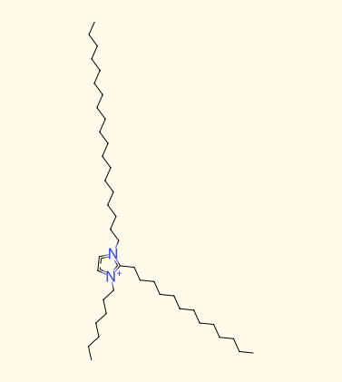 CCCCCCCCCCCCCCCCCCCn1cc[n+](CCCCCCC)c1CCCCCCCCCCCCC